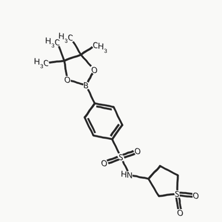 CC1(C)OB(c2ccc(S(=O)(=O)NC3CCS(=O)(=O)C3)cc2)OC1(C)C